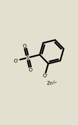 O=S(=O)([O-])c1ccccc1[O-].[Zn+2]